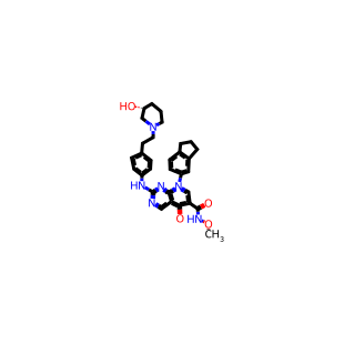 CONC(=O)c1cn(-c2ccc3c(c2)CCC3)c2nc(Nc3ccc(CCN4CCC[C@@H](O)C4)cc3)ncc2c1=O